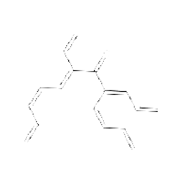 C=C/C=C\C=C(/C=C)C(=O)C(/C=C\C=C)=C/C=C